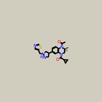 CC(=O)N1c2ccc(C3CNN(Cc4cncs4)C3)cc2N(C(=O)C2CC2)C[C@@H]1C